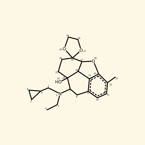 CCN(CC1CC1)C1Cc2ccc(C)c3c2C2C(O3)C3(CCC21O)OCCO3